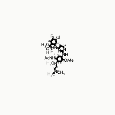 COc1cc(N(C)CCN(C)C)c(NC(C)=O)cc1Nc1nccc(Nc2cc(Cl)c(F)cc2C(C)(C)O)n1